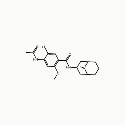 COc1cc(NC(C)=O)c(Cl)cc1C(=O)NC1CC2CCCC(C1)N2C